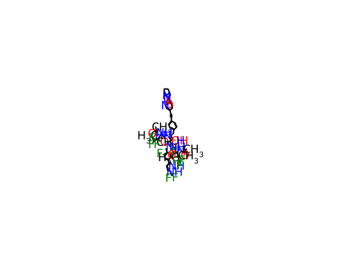 CC(=O)N[C@H](C(=O)N[C@@H](Cc1ccc(C#Cc2ccc(N3CC4CCC(C3)N4C3COC3)nc2)cc1)[C@@H](O)CN(Cc1c(F)cc(C(=N)/C=C\NC(F)F)cc1F)NC(=O)[C@@H](NC(C)=O)C(C)(C)C(F)(F)F)C(C)(C)C(F)(F)F